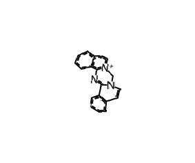 C1=CN2C[n+]3ccc4ccccc4c3N=C2c2ccccc21